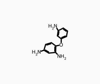 Nc1cccc(Oc2ccc(N)cc2N)c1